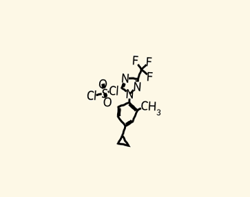 Cc1cc(C2CC2)ccc1-n1cnc(C(F)(F)F)n1.O=S(=O)(Cl)Cl